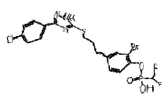 O=P(O)(Oc1ccc(CCCSc2nc(-c3ccc(Cl)cc3)n[nH]2)cc1Br)C(F)F